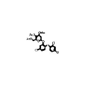 COC1CC(Oc2cc(Cl)ccc2Oc2ccc(Cl)cc2Cl)OC(COC(C)=O)C1OC(C)=O